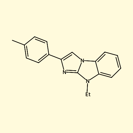 CCn1c2ccccc2n2cc(-c3ccc(C)cc3)nc12